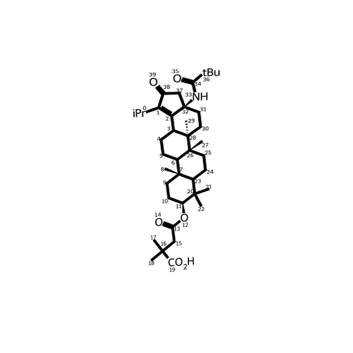 CC(C)C1=C2C3CCC4[C@@]5(C)CC[C@H](OC(=O)CC(C)(C)C(=O)O)C(C)(C)C5CC[C@@]4(C)[C@]3(C)CC[C@@]2(NC(=O)C(C)(C)C)CC1=O